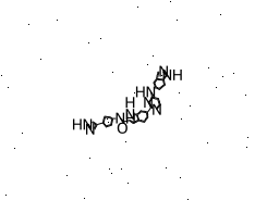 O=C(Nc1ccc(-c2cn[nH]c2)cc1)c1cc2ccc(-c3nccc(Nc4ccc5[nH]ncc5c4)n3)cc2[nH]1